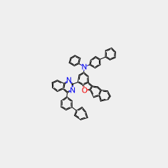 c1ccc(-c2ccc(N(c3ccccc3)c3cc(-c4nc(-c5cccc(-c6ccccc6)c5)c5ccccc5n4)c4oc5cc6ccccc6cc5c4c3)cc2)cc1